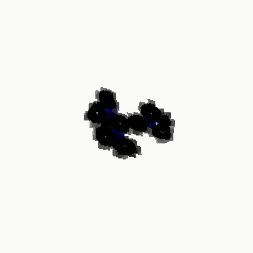 CC1(C)c2ccccc2N(c2ccc(-c3cc4c5c(c3)-n3c6ccccc6c6cccc(c63)B5c3cccc5c6ccccc6n-4c35)cc2)c2ccccc21